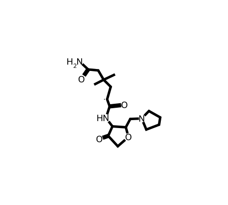 CC(C)(C[CH]C(=O)NC1C(=O)COC1CN1CCCC1)CC(N)=O